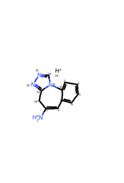 NC1=Cc2ccccc2-n2cnnc2C1.[H+]